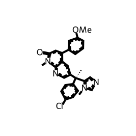 COc1cccc(-c2cc(=O)n(C)c3ncc([C@](C)(c4ccc(Cl)cc4)c4cncn4C)cc23)c1